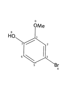 COc1cc(Br)[c]cc1O